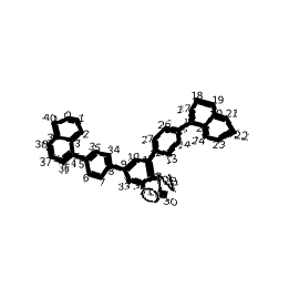 c1ccc2c(-c3ccc(-c4cc(-c5ccc(-c6cccc7ccccc67)cc5)c5ncoc5c4)cc3)cccc2c1